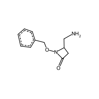 NCC1CC(=O)N1OCc1ccccc1